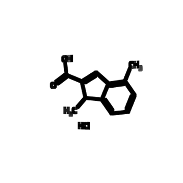 Cc1cccc2c1C=C(C(=O)O)C2C.Cl